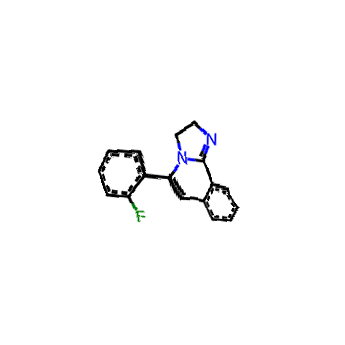 Fc1ccccc1C1=Cc2ccccc2C2=NCCN12